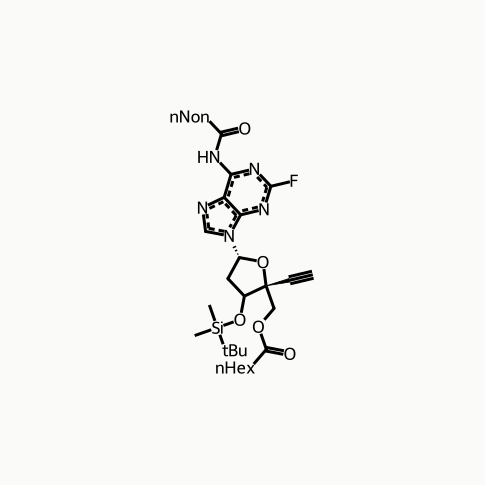 C#C[C@]1(COC(=O)CCCCCC)O[C@@H](n2cnc3c(NC(=O)CCCCCCCCC)nc(F)nc32)CC1O[Si](C)(C)C(C)(C)C